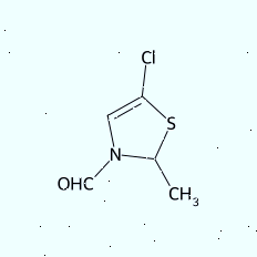 CC1SC(Cl)=CN1C=O